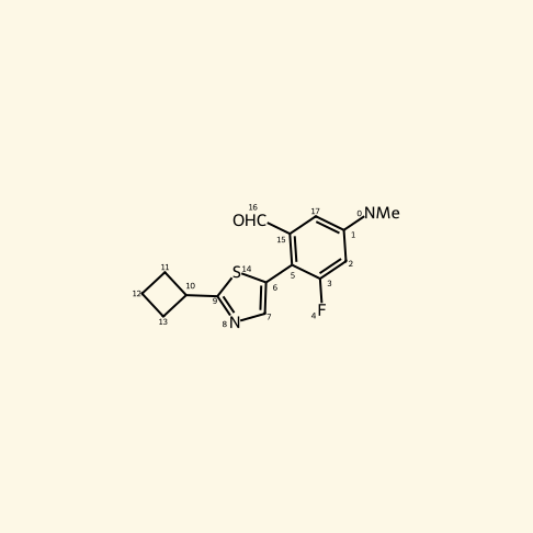 CNc1cc(F)c(-c2cnc(C3CCC3)s2)c(C=O)c1